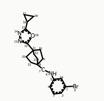 Brc1cccc(NCC23CCC(c4nnc(C5CC5)o4)(CC2)CC3)c1